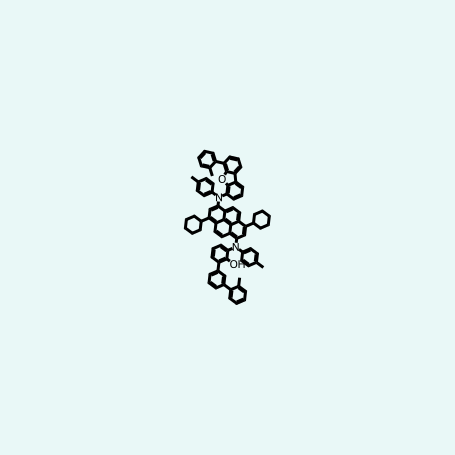 Cc1ccc(N(c2cccc(-c3cccc(-c4ccccc4C)c3)c2O)c2cc(C3CCCCC3)c3ccc4c(N(c5ccc(C)cc5)c5cccc6c5oc5c(-c7ccccc7C)cccc56)cc(C5CCCCC5)c5ccc2c3c54)cc1